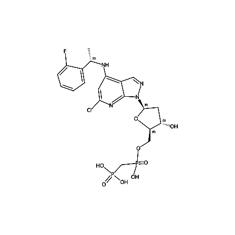 C[C@H](Nc1cc(Cl)nc2c1cnn2[C@H]1C[C@H](O)[C@@H](COP(=O)(O)CP(=O)(O)O)O1)c1ccccc1F